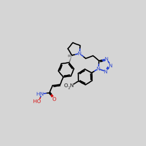 O=C(C=Cc1ccc([C@@H]2CCCN2CCc2nnnn2-c2ccc([N+](=O)[O-])cc2)cc1)NO